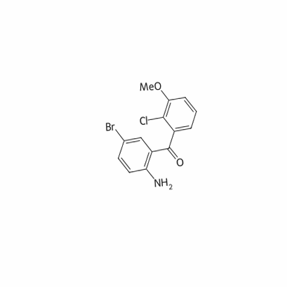 COc1cccc(C(=O)c2cc(Br)ccc2N)c1Cl